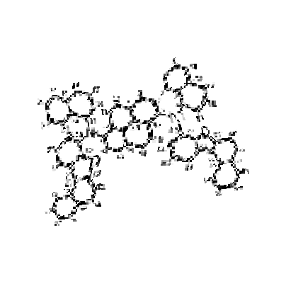 c1ccc2c(N(c3ccc4ccc5c(N(c6cccc7ccccc67)c6cccc7c6oc6ccc8ccccc8c67)ccc6ccc3c4c65)c3cccc4c3oc3ccc5ccccc5c34)cccc2c1